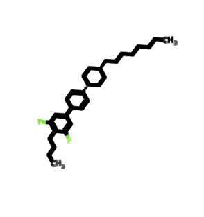 CCCCCCCC[C@H]1CC[C@H](C2=CCC(c3cc(F)c(CCCC)c(F)c3)C=C2)CC1